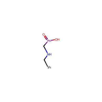 CC(C)CNC[PH](=O)O